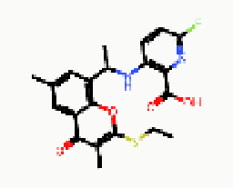 CCSc1oc2c(C(C)Nc3ccc(F)nc3C(=O)O)cc(C)cc2c(=O)c1C